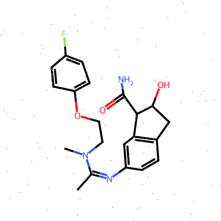 CC(=Nc1ccc2c(c1)C(C(N)=O)C(O)C2)N(C)CCOc1ccc(F)cc1